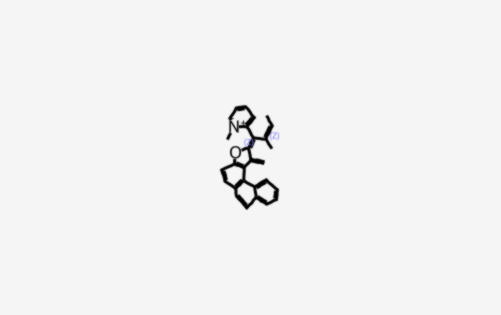 C=c1/c(=C(\C(C)=C/C)c2cccc[n+]2C)oc2ccc3ccc4ccccc4c3c12